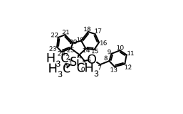 C[Si](C)(C)C1(COCc2ccccc2)c2ccccc2-c2ccccc21